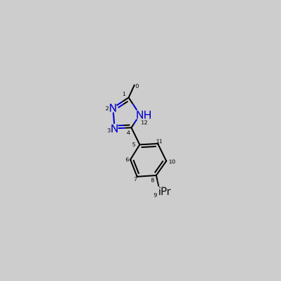 Cc1nnc(-c2ccc(C(C)C)cc2)[nH]1